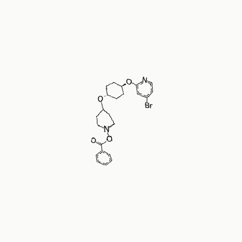 O=C(ON1CCC(O[C@H]2CC[C@H](Oc3cc(Br)ccn3)CC2)CC1)c1ccccc1